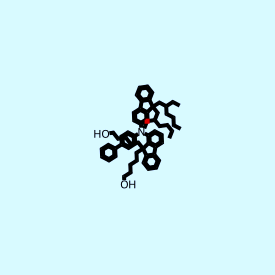 CCCCC(CC)CC1(CC(CC)CCCC)c2ccccc2-c2ccc(N(c3ccc(-c4ccccc4)cc3)c3cccc4c3C(CCCCCO)(CCCCCO)c3ccccc3-4)cc21